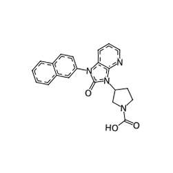 O=C(O)N1CCC(n2c(=O)n(-c3ccc4ccccc4c3)c3cccnc32)C1